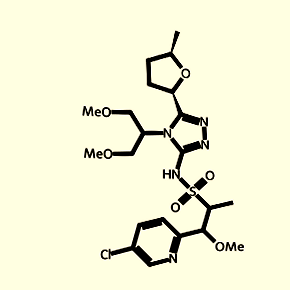 COCC(COC)n1c(NS(=O)(=O)C(C)C(OC)c2ccc(Cl)cn2)nnc1[C@H]1CC[C@@H](C)O1